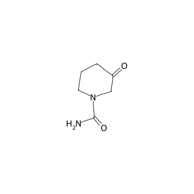 NC(=O)N1CCCC(=O)C1